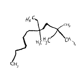 CCCCC(C)(C)CC(C)(C)C